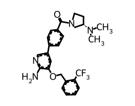 CN(C)[C@H]1CCN(C(=O)c2ccc(-c3cnc(N)c(OCc4ccccc4C(F)(F)F)c3)cc2)C1